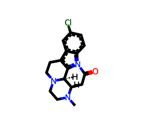 CN1CCN2CCc3c4n(c5ccc(Cl)cc35)C(=O)C[C@@H]1[C@H]42